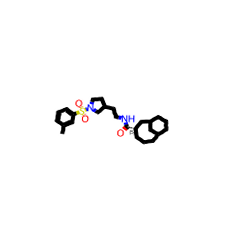 Cc1cccc(S(=O)(=O)N2CCC(CCNC(=O)[C@H]3CCCC4CCCC(C4)C3)C2)c1